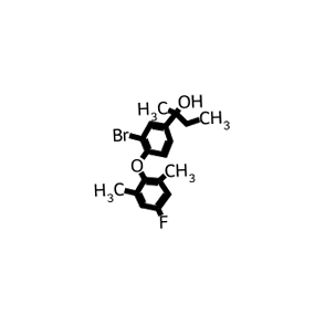 CCC(C)(O)c1ccc(Oc2c(C)cc(F)cc2C)c(Br)c1